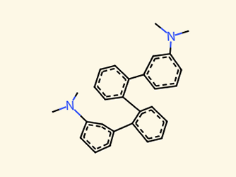 CN(C)c1cccc(-c2ccccc2-c2ccccc2-c2cccc(N(C)C)c2)c1